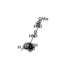 B[C@H]1CC[C@@H](COP(=O)(O)OP(=O)(O)OP(=O)(O)OP(=O)(O)NCCCCCCCNC(=O)CCOCCCCCNC(=O)c2cc3ccc(OC)cc3oc2=O)O1